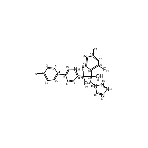 Cc1ccc(-c2ccc(C(F)(F)C(O)(Cn3cnnn3)c3ccc(C)cc3F)nc2)cc1